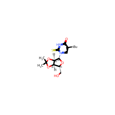 CCCCc1cn([C@@H]2O[C@H](CO)[C@H]3OC(C)(C)O[C@H]32)c(=S)[nH]c1=O